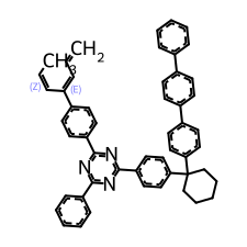 C=C/C=C(\C=C/C)c1ccc(-c2nc(-c3ccccc3)nc(-c3ccc(C4(c5ccc(-c6ccc(-c7ccccc7)cc6)cc5)CCCCC4)cc3)n2)cc1